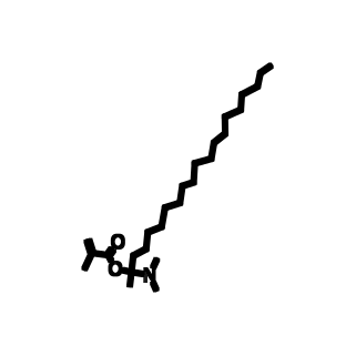 C=C(C)C(=O)OC(C)(CCCCCCCCCCCCCCCCCC)N(C)C